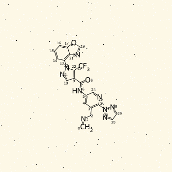 C=NCc1cc(NC(=O)c2cnn(-c3cccc4ocnc34)c2C(F)(F)F)cnc1-n1nccn1